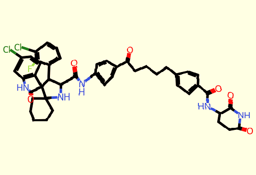 O=C1CCC(NC(=O)c2ccc(CCCCC(=O)c3ccc(NC(=O)C4NC5(CCCCC5)C5(C(=O)Nc6cc(Cl)ccc65)C4c4cccc(Cl)c4F)cc3)cc2)C(=O)N1